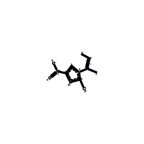 C/C=C(/C)n1cc([N+](=O)[O-])nc1Cl